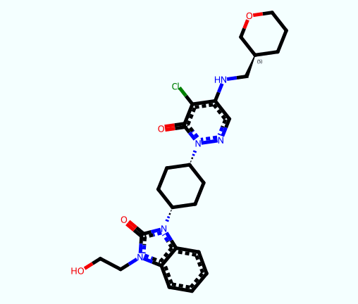 O=c1c(Cl)c(NC[C@@H]2CCCOC2)cnn1[C@H]1CC[C@@H](n2c(=O)n(CCO)c3ccccc32)CC1